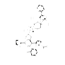 CC1CC(O)(n2cc(-c3ccccn3)nn2)CCN1S(=O)(=O)N[C@H]1CC2=C(c3ccn(C(F)F)n3)[C@H](c3ccc(F)cc3Cl)N=C(c3nccs3)N2C1